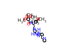 COc1ccc(C(CCN2CCC(Nc3nc4c(Cc5ccccn5)cccc4[nH]3)CC2)CN(C)C(=O)c2cc(OC)c(OC)c(OC)c2)cc1